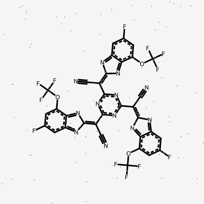 N#CC(=C1N=c2cc(F)cc(OC(F)(F)F)c2=N1)c1nc(C(C#N)=C2N=c3cc(F)cc(OC(F)(F)F)c3=N2)nc(C(C#N)=C2N=c3cc(F)cc(OC(F)(F)F)c3=N2)n1